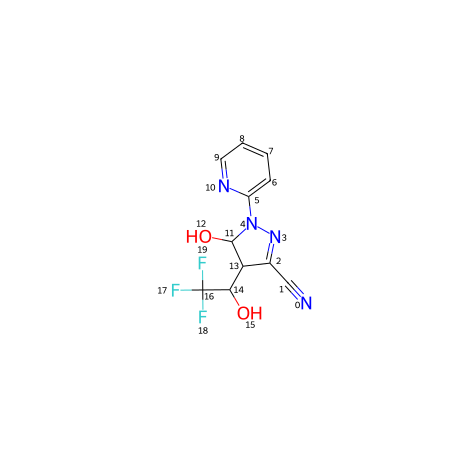 N#CC1=NN(c2ccccn2)C(O)C1C(O)C(F)(F)F